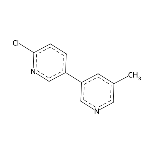 Cc1cncc(-c2ccc(Cl)nc2)c1